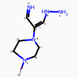 N=C/C(=C\NN)N1CCN(I)CC1